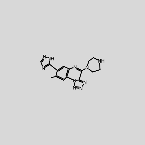 Cc1cc2c(cc1-c1ncn[nH]1)nc(N1CCNCC1)c1nnnn12